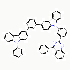 c1ccc(-c2nc(-c3cccc(-n4c5ccccc5c5cc(-c6cccc(-c7ccc8c(c7)c7ccccc7n8-c7ccccc7)c6)ccc54)c3)nc3ccccc23)cc1